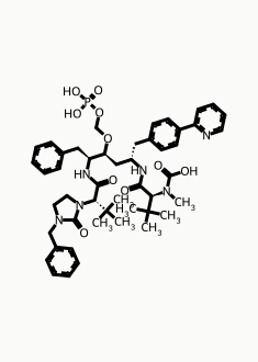 CN(C(=O)O)[C@H](C(=O)N[C@@H](Cc1ccc(-c2ccccn2)cc1)C[C@H](OCOP(=O)(O)O)[C@H](Cc1ccccc1)NC(=O)[C@@H](N1CCN(Cc2ccccc2)C1=O)C(C)(C)C)C(C)(C)C